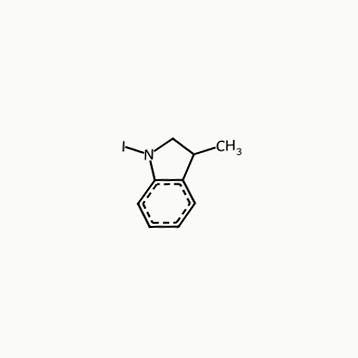 CC1CN(I)c2ccccc21